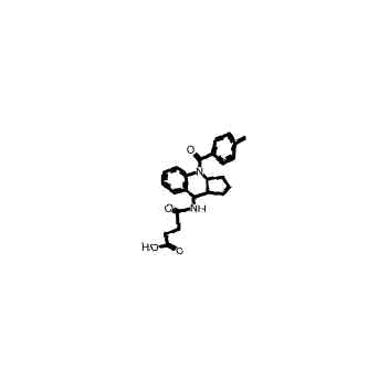 Cc1ccc(C(=O)N2c3ccccc3C(NC(=O)CCC(=O)O)C3CCCC32)cc1